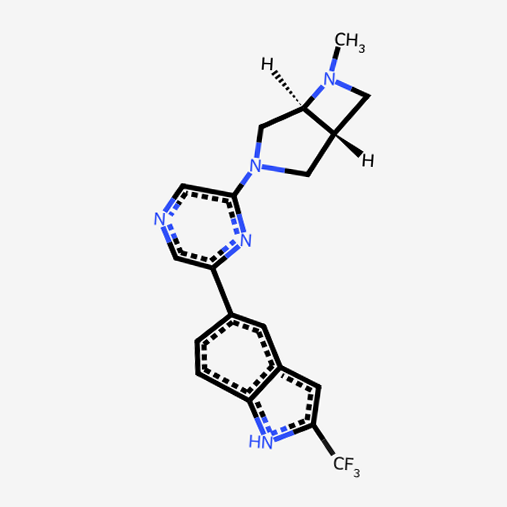 CN1C[C@@H]2CN(c3cncc(-c4ccc5[nH]c(C(F)(F)F)cc5c4)n3)C[C@H]21